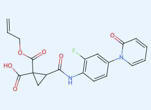 C=CCOC(=O)C1(C(=O)O)CC1C(=O)Nc1ccc(-n2ccccc2=O)cc1F